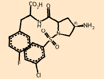 N[C@@H]1CC(C(=O)NC(Cc2ccc(F)cc2)C(=O)O)N(S(=O)(=O)c2cccc(Cl)c2)C1